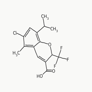 Cc1c(Cl)cc(C(C)C)c2c1C=C(C(=O)O)C(C(F)(F)F)O2